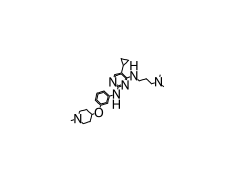 CN(C)CCCNc1nc(Nc2cccc(OC3CCN(C)CC3)c2)ncc1C1CC1